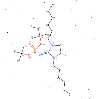 CCCCCCN1CCN(CCCCCC)C1=NP(=O)(OC(C)(C)C)OC(C)(C)CC